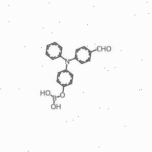 O=Cc1ccc(N(c2ccccc2)c2ccc(OB(O)O)cc2)cc1